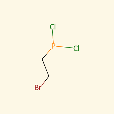 ClP(Cl)CCBr